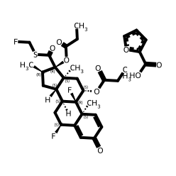 CCC(=O)O[C@H]1C[C@@]2(C)[C@@H](C[C@@H](C)[C@]2(OC(=O)CC)C(=O)SCF)[C@@H]2C[C@H](F)C3=CC(=O)C=C[C@]3(C)[C@@]12F.O=C(O)c1ccco1